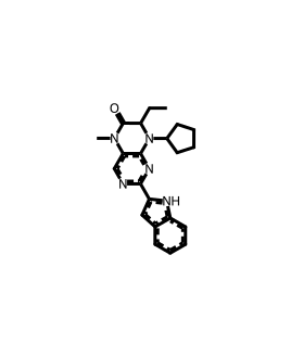 CCC1C(=O)N(C)c2cnc(-c3cc4ccccc4[nH]3)nc2N1C1CCCC1